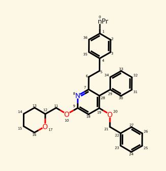 CCCc1ccc(CCc2nc(OCC3CCCCO3)cc(OCc3ccccc3)c2-c2ccccc2)cc1